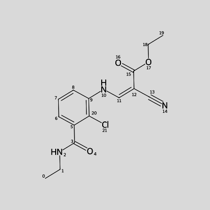 CCNC(=O)c1cccc(NC=C(C#N)C(=O)OCC)c1Cl